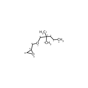 CCCC(C)(C)COCC1CO1